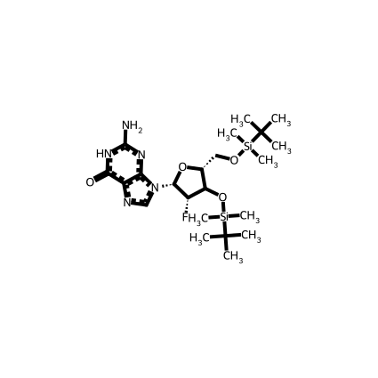 CC(C)(C)[Si](C)(C)OC[C@H]1O[C@@H](n2cnc3c(=O)[nH]c(N)nc32)[C@@H](F)C1O[Si](C)(C)C(C)(C)C